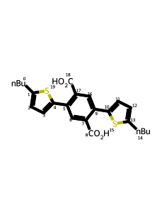 CCCCc1ccc(-c2cc(C(=O)O)c(-c3ccc(CCCC)s3)cc2C(=O)O)s1